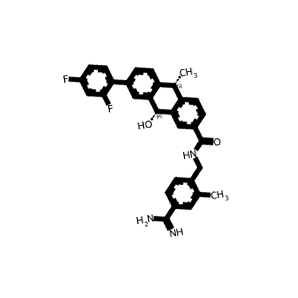 Cc1cc(C(=N)N)ccc1CNC(=O)c1ccc2c(c1)[C@H](O)c1cc(-c3ccc(F)cc3F)ccc1[C@@H]2C